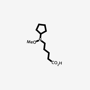 CON(CCCCC(=O)O)C1CCCC1